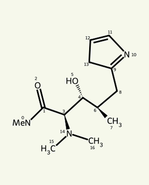 CNC(=O)[C@@H]([C@H](O)[C@H](C)CC1=NC=CC1)N(C)C